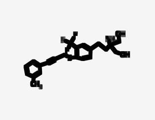 Cc1cccc(C#CCSc2ccc(CCC(N)(CO)CO)cc2C(F)(F)F)c1